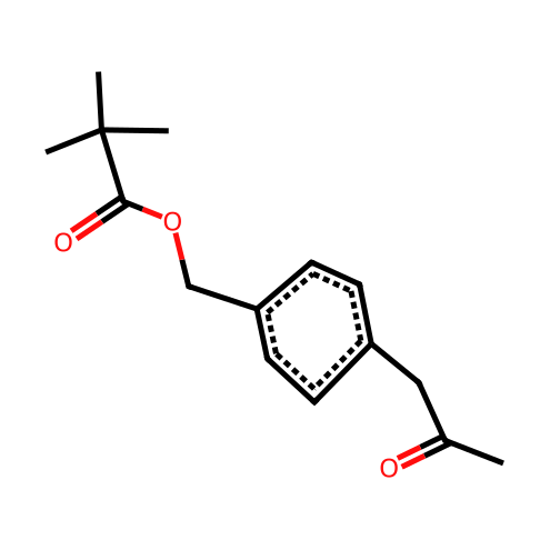 CC(=O)Cc1ccc(COC(=O)C(C)(C)C)cc1